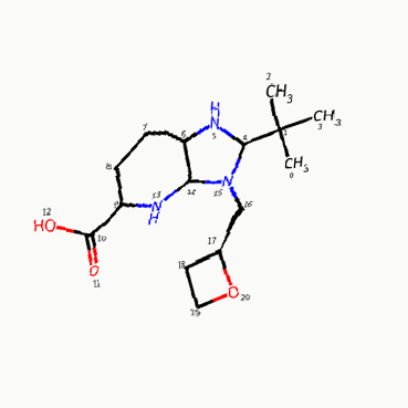 CC(C)(C)C1NC2CCC(C(=O)O)NC2N1C[C@@H]1CCO1